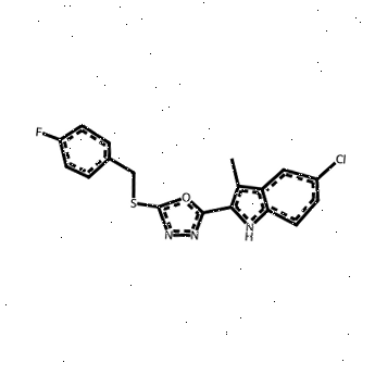 Cc1c(-c2nnc(SCc3ccc(F)cc3)o2)[nH]c2ccc(Cl)cc12